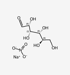 O=C[C@H](O)[C@@H](O)[C@H](O)[C@H](O)CO.O=[N+]([O-])[O-].[Na+]